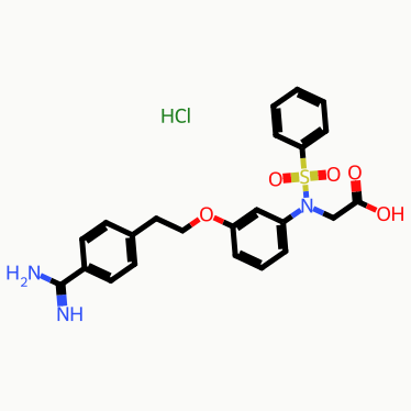 Cl.N=C(N)c1ccc(CCOc2cccc(N(CC(=O)O)S(=O)(=O)c3ccccc3)c2)cc1